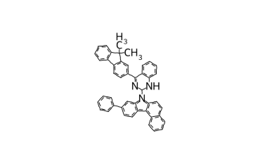 CC1(C)c2ccccc2-c2ccc(C3=NC(n4c5cc(-c6ccccc6)ccc5c5c6ccccc6ccc54)Nc4ccccc43)cc21